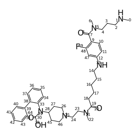 CNCCCN(C)C(=O)c1ccc(NCCCCCC(=O)N(C)CCN2CCC(N(C(=O)O)c3ccccc3-c3ccccc3)CC2)cc1F